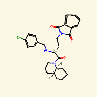 O=C1c2ccccc2C(=O)N1CC[C@@H](NCc1ccc(Cl)cc1)C(=O)N1CCC[C@H]2CCCC[C@@H]21